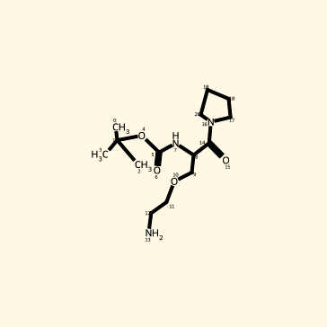 CC(C)(C)OC(=O)NC(COCCN)C(=O)N1CCCC1